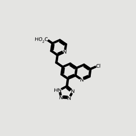 O=C(O)c1ccnc(Cc2cc(-c3nnn[nH]3)c3ncc(Cl)cc3c2)c1